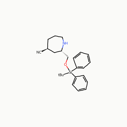 CC(C)(C)[Si](OC[C@@H]1C[C@@H](C#N)CCCN1)(c1ccccc1)c1ccccc1